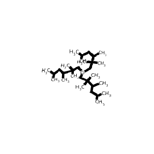 CC(C)CC(C)C(C)(C)[CH2][Cr]([CH2]C(C)(C)C(C)CC(C)C)[CH2]C(C)(C)C(C)CC(C)C